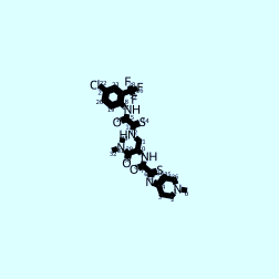 CN1CCc2nc(C(=O)NC(CNC(=S)C(=O)Nc3ccc(Cl)cc3C(F)(F)F)C(=O)N(C)C)sc2C1